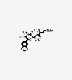 CSCCC(N)C(=O)OC(C)OC(=O)N(C)C(C)C(=O)c1ccc2c(c1)OCO2